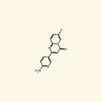 Nc1ccc(-c2cc(=O)n3cc(F)ccc3n2)cn1